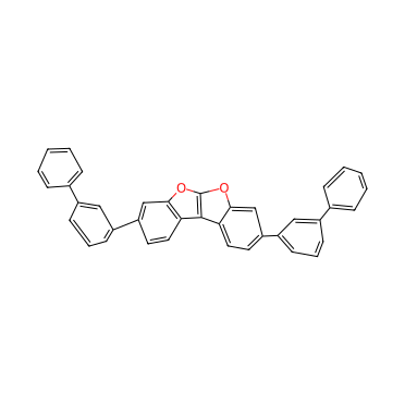 c1ccc(-c2cccc(-c3ccc4c(c3)oc3oc5cc(-c6cccc(-c7ccccc7)c6)ccc5c34)c2)cc1